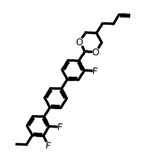 C=CCCC1COC(c2ccc(-c3ccc(-c4ccc(CC)c(F)c4F)cc3)cc2F)OC1